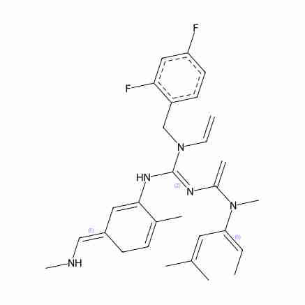 C=CN(Cc1ccc(F)cc1F)/C(=N\C(=C)N(C)/C(C=C(C)C)=C/C)NC1=C/C(=C/NC)CC=C1C